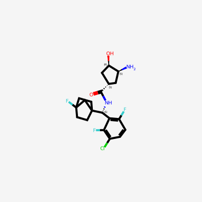 N[C@H]1C[C@H](C(=O)N[C@H](c2c(F)ccc(Cl)c2F)C23CCC(F)(CC2)C3)C[C@H]1O